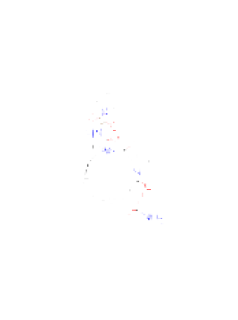 NC(=O)OC1CCCCCC=CC2CC2(C(=O)NS(=O)(=O)N2CCCC2)NC(=O)C2CCCN2C1=O